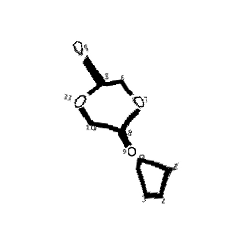 C1CCC1.O=C1COC(=O)CO1